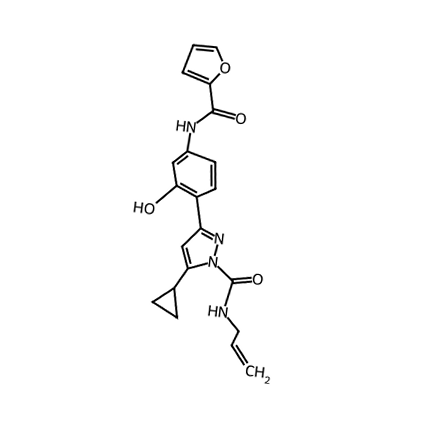 C=CCNC(=O)n1nc(-c2ccc(NC(=O)c3ccco3)cc2O)cc1C1CC1